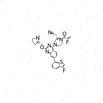 C=C(F)C(=O)N1CCN(c2nc(OC[C@@H]3CCCN3C)nc3cc(-c4cccc5c(F)csc45)ccc23)C[C@@H]1CC#N